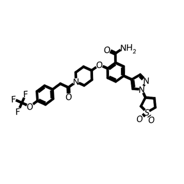 NC(=O)c1cc(-c2cnn(C3CCS(=O)(=O)C3)c2)ccc1OC1CCN(C(=O)Cc2ccc(OC(F)(F)F)cc2)CC1